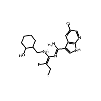 N/C(=N\C(NCC1CCCCC1O)=C(\F)CI)c1c[nH]c2ncc(Cl)cc12